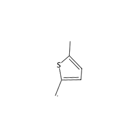 [CH2]c1ccc(C)s1